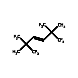 CC(C=CC(C)(C(F)(F)F)C(F)(F)F)(C(F)(F)F)C(F)(F)F